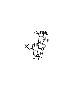 CC(C)(C)CC(=O)N1C[C@H]2[C@@H]([C@H]1C(=O)NN(C[C@H]1CC3(CC3)NC1=O)C(=O)[C@@H](F)Cl)C2(C)C